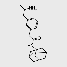 CC(N)Cc1cccc(CC(=O)NC23CC4CC(CC(C4)C2)C3)c1